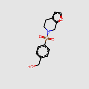 O=S(=O)(c1ccc(CO)cc1)N1CCc2ccoc2C1